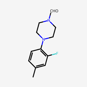 Cc1ccc(N2CCN(C=O)CC2)c(F)c1